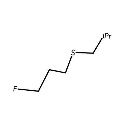 CC(C)CSCCCF